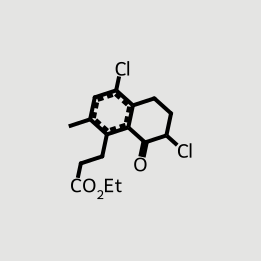 CCOC(=O)CCc1c(C)cc(Cl)c2c1C(=O)C(Cl)CC2